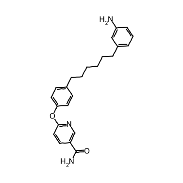 NC(=O)c1ccc(Oc2ccc(CCCCCCc3cccc(N)c3)cc2)nc1